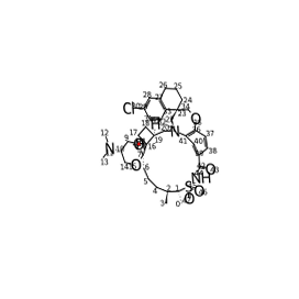 C[C@@H]1[C@@H](C)CCC[C@]2(OC[C@@H](N(C)C)CO2)[C@@H]2CC[C@H]2CN2C[C@@]3(CCCc4cc(Cl)ccc43)COc3ccc(cc32)C(=O)NS1(=O)=O